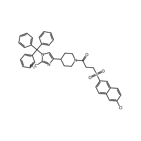 Cc1nc(C2CCN(C(=O)CCS(=O)(=O)c3ccc4cc(Cl)ccc4c3)CC2)cn1C(c1ccccc1)(c1ccccc1)c1ccccc1